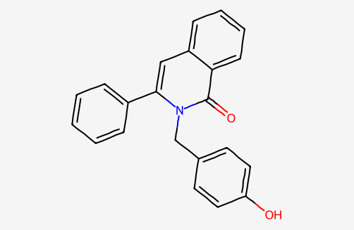 O=c1c2ccccc2cc(-c2ccccc2)n1Cc1ccc(O)cc1